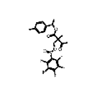 CC(=O)C(C)(COS(=O)c1c(F)c(F)c(F)c(F)c1F)C(=O)OC(C)c1ccc(C)cc1